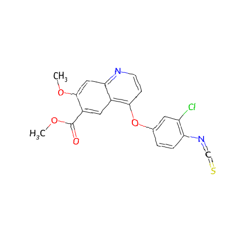 COC(=O)c1cc2c(Oc3ccc(N=C=S)c(Cl)c3)ccnc2cc1OC